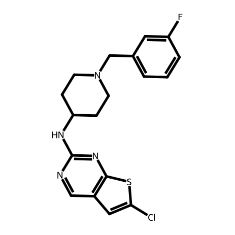 Fc1cccc(CN2CCC(Nc3ncc4cc(Cl)sc4n3)CC2)c1